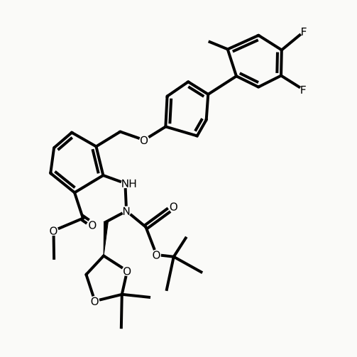 COC(=O)c1cccc(COc2ccc(-c3cc(F)c(F)cc3C)cc2)c1NN(C[C@@H]1COC(C)(C)O1)C(=O)OC(C)(C)C